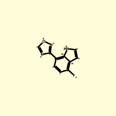 Fc1ccc(-c2ncon2)c2[nH]ccc12